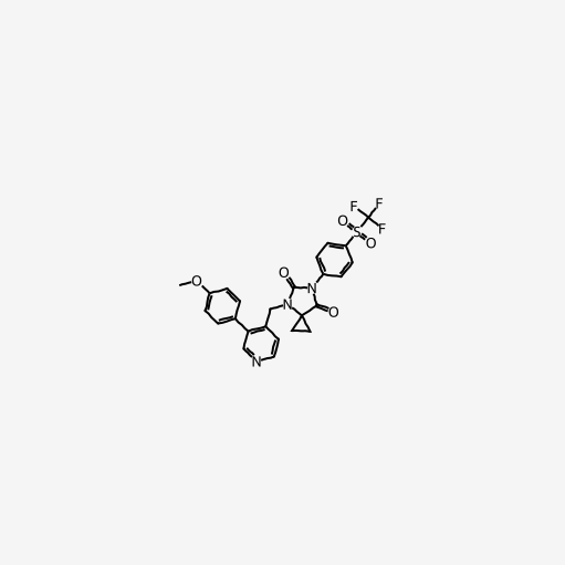 COc1ccc(-c2cnccc2CN2C(=O)N(c3ccc(S(=O)(=O)C(F)(F)F)cc3)C(=O)C23CC3)cc1